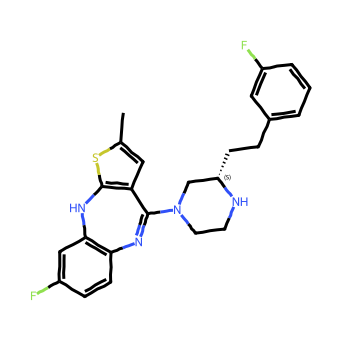 Cc1cc2c(s1)Nc1cc(F)ccc1N=C2N1CCN[C@@H](CCc2cccc(F)c2)C1